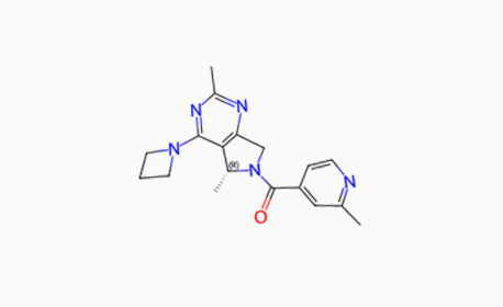 Cc1cc(C(=O)N2Cc3nc(C)nc(N4CCC4)c3[C@H]2C)ccn1